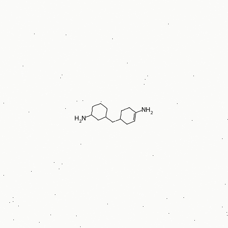 NC1=CCC(CC2CCCC(N)C2)CC1